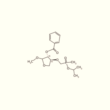 COC1OC[C@H](OCP(C)(=O)OC(C)C)[C@H]1OC(=O)c1ccccc1